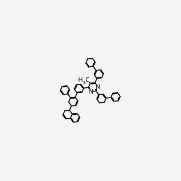 Cc1c(-c2cccc(C3=CCCC=C3)c2)nc(C2=CCCC(c3ccccc3)=C2)nc1-c1cccc(C2=C(c3ccccc3)CC(C3CC=Cc4ccccc43)C=C2)c1